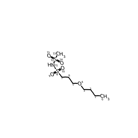 CCCCOCCCS(=O)(=O)NS(C)(=O)=O